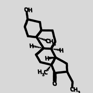 CCC1C[C@H]2[C@@H]3CCC4CC(O)CC[C@]4(C)[C@@H]3CC[C@]2(C)C1=O